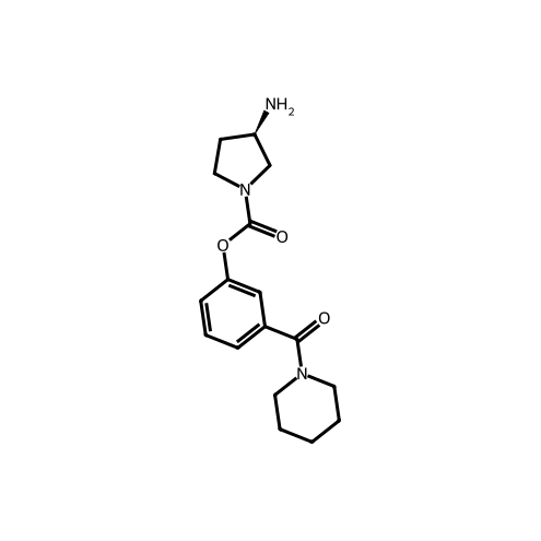 N[C@@H]1CCN(C(=O)Oc2cccc(C(=O)N3CCCCC3)c2)C1